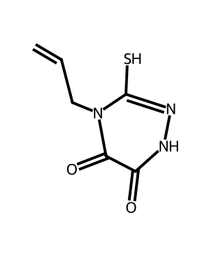 C=CCn1c(S)n[nH]c(=O)c1=O